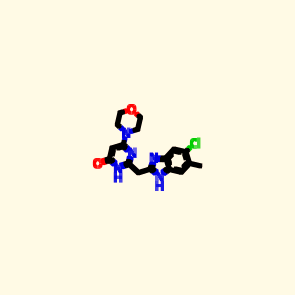 Cc1cc2[nH]c(Cc3nc(N4CCOCC4)cc(=O)[nH]3)nc2cc1Cl